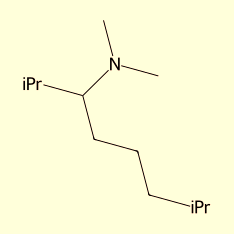 CC(C)CCCC(C(C)C)N(C)C